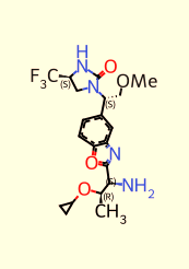 COC[C@H](c1ccc2oc([C@@H](N)[C@@H](C)OC3CC3)nc2c1)N1C[C@@H](C(F)(F)F)NC1=O